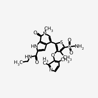 CCNC(=O)c1cc2c(-c3sc(S(N)(=O)=O)c(C)c3Oc3c(C)ccnc3C)cn(C)c(=O)c2[nH]1